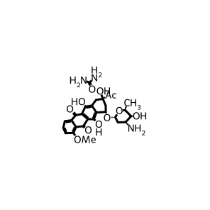 COc1cccc2c1C(=O)c1c(O)c3c(c(O)c1C2=O)C[C@@](O)(C(C)=O)C[C@@H]3O[C@H]1C[C@H](N)[C@H](O)[C@H](C)O1.NC(N)=O